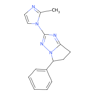 Cc1nccn1-c1nc2n(n1)C(c1ccccc1)CC2